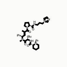 C/C(=C\[C@H](C(C)C)N(C)C(=O)[C@@H](NC(=O)[C@H]1CCCCN1C(C)C)C(C)(C)C)C(=O)N1CCC[C@H]1C(=O)NCCCn1ccnc1